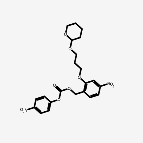 O=C(OCc1ccc([N+](=O)[O-])cc1OCCCOC1CCCCO1)Oc1ccc([N+](=O)[O-])cc1